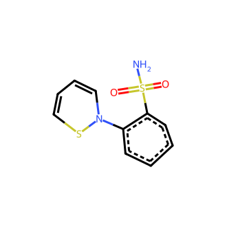 NS(=O)(=O)c1ccccc1N1C=CC=CS1